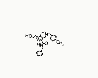 Cc1ccc(CN2CCc3c(c(C(=O)NCc4ccccc4)nn3CCO)C2)cc1